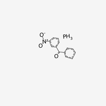 O=C(c1ccccc1)c1cccc([N+](=O)[O-])c1.P